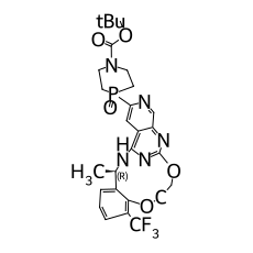 C[C@H]1Nc2nc(nc3cnc(P4(=O)CCN(C(=O)OC(C)(C)C)CC4)cc23)OCCOc2c1cccc2C(F)(F)F